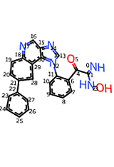 N=C(NO)C(=O)c1ccccc1-n1cnc2cnc3ccc(-c4ccccc4)cc3c21